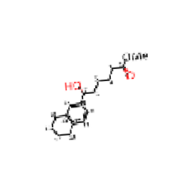 COC(=O)CCCCC(O)c1ccc2c(c1)CCCC2